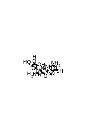 Nc1nc(S)c2ncn(-n3c(N)nc4c(nc(N)n4[C@@H]4O[C@H](CO)C(O)C4O)c3=O)c2n1